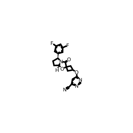 N#Cc1cc(OC2CC3(C2)O[C@@H]2CC[C@@H](c4cc(F)cc(F)c4)N2C3=O)ncn1